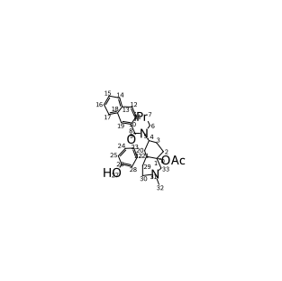 CC(=O)O[C@]12CC[C@H](N(CC(C)C)C(=O)c3ccc4ccccc4c3)C[C@]1(c1cccc(O)c1)CCN(C)C2